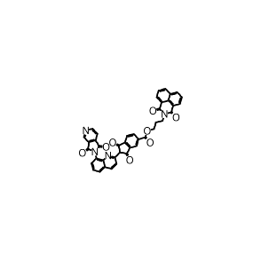 O=C(OCCCN1C(=O)c2cccc3cccc(c23)C1=O)c1ccc2c(c1)C(=O)C(c1ccc3cccc(N4C(=O)c5ccncc5C4=O)c3n1)C2=O